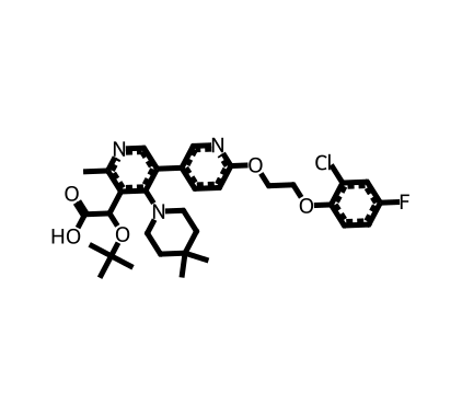 Cc1ncc(-c2ccc(OCCOc3ccc(F)cc3Cl)nc2)c(N2CCC(C)(C)CC2)c1C(OC(C)(C)C)C(=O)O